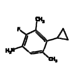 Cc1cc(N)c(F)c(C)c1C1CC1